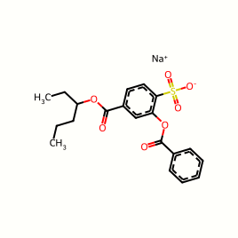 CCCC(CC)OC(=O)c1ccc(S(=O)(=O)[O-])c(OC(=O)c2ccccc2)c1.[Na+]